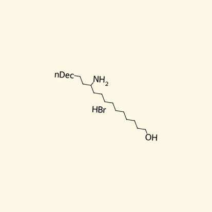 Br.CCCCCCCCCCCCC(N)CCCCCCCCCCO